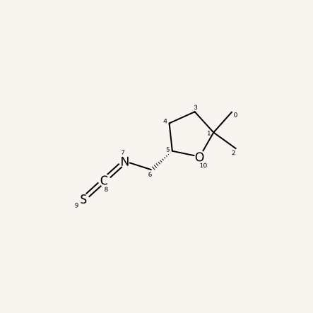 CC1(C)CC[C@@H](CN=C=S)O1